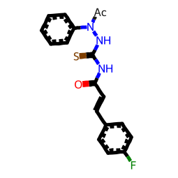 CC(=O)N(NC(=S)NC(=O)C=Cc1ccc(F)cc1)c1ccccc1